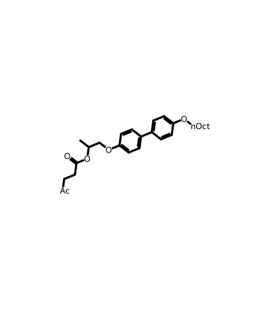 CCCCCCCCOc1ccc(-c2ccc(OCC(C)OC(=O)CCC(C)=O)cc2)cc1